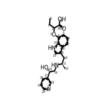 CCC(Oc1cccc2c(C[C@@H](C)NC[C@@H](O)c3cccnc3)c[nH]c12)C(=O)O